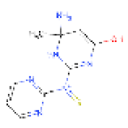 CC1(N)C=C(O)N=C([N+](=S)c2ncccn2)N1